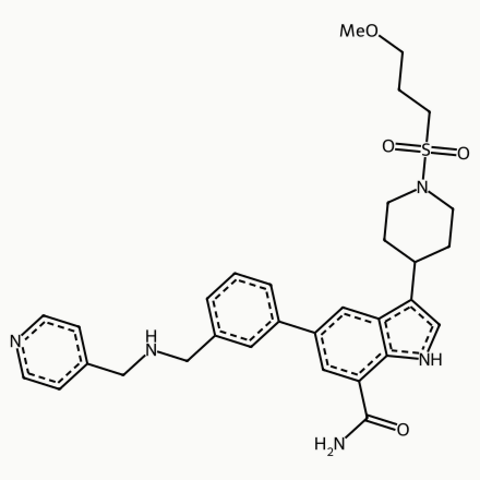 COCCCS(=O)(=O)N1CCC(c2c[nH]c3c(C(N)=O)cc(-c4cccc(CNCc5ccncc5)c4)cc23)CC1